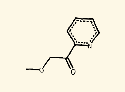 COCC(=O)c1ccccn1